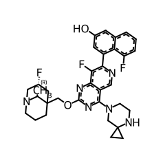 CC1N2CCCC1(COc1nc(N3CCNC4(CC4)C3)c3cnc(-c4cc(O)cc5cccc(F)c45)c(F)c3n1)C[C@@H](F)C2